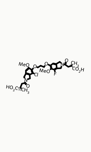 COc1cc2c(c(Cl)c1OCCCOc1cc3c(c(F)c1OC)CN(C(=O)C[C@H](C)C(=O)O)C3)CN(C(=O)C[C@H](C)C(=O)O)C2